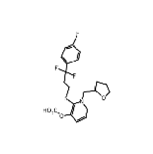 O=C(O)OC1=C(SCCC(F)(F)c2ccc(F)cc2)N(CC2CCCO2)CC=C1